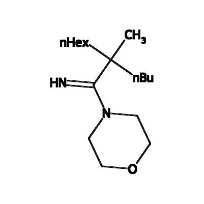 CCCCCCC(C)(CCCC)C(=N)N1CCOCC1